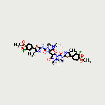 Cc1nc(NC(=O)NCC(CC(NC(=O)Nc2nc(C)c(-c3ccc(S(C)(=O)=O)c(F)c3)s2)C(=O)N(C)C(C)C)C(=O)N(C)CC(C)C)sc1-c1ccc(S(C)(=O)=O)c(F)c1